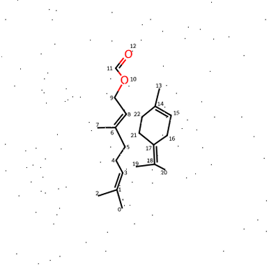 CC(C)=CCC/C(C)=C/COC=O.CC1=CCC(=C(C)C)CC1